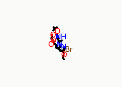 CCOC(=O)c1cc2cc(OCC)c(Br)nc2n1C(C)CNC(=O)OC(C)(C)C